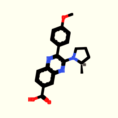 COc1ccc(-c2nc3ccc(C(=O)O)cc3nc2N2CCC[C@@H]2C)cc1